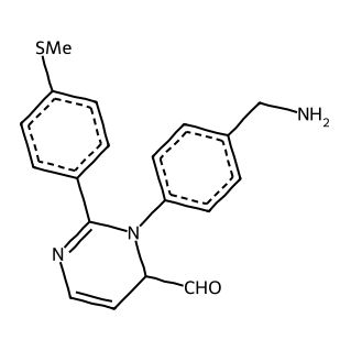 CSc1ccc(C2=NC=CC(C=O)N2c2ccc(CN)cc2)cc1